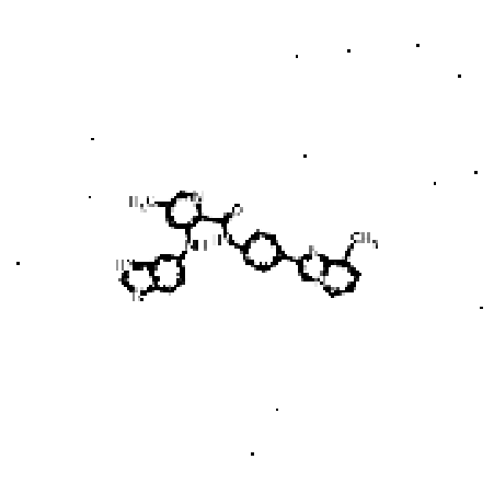 Cc1cnc(C(=O)Nc2ccc(-c3cn4cccc(C)c4n3)cc2)c(Nc2ccc3nc[nH]c3c2)c1